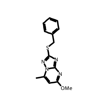 COc1cc(C)n2nc(SCc3ccccc3)nc2n1